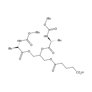 CC[C@H](C)[C@H](NC(=O)OC(C)(C)C)C(=O)OCC(COC(=O)CCCC(=O)O)OC(=O)[C@@H](NC(=O)OC(C)(C)C)[C@@H](C)CC